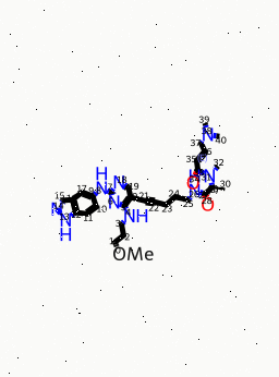 COCCCNc1nc(Nc2ccc3[nH]ncc3c2)ncc1C#CCCCNC(=O)[C@H](C)N(C)C(=O)/C=C/CN(C)C